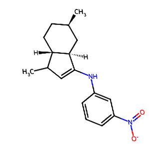 CC1C=C(Nc2cccc([N+](=O)[O-])c2)[C@@H]2C[C@H](C)CC[C@@H]12